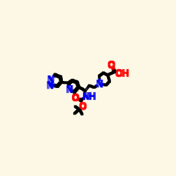 CC(C)(C)OC(=O)N[C@H](CCN1CCC(C(=O)O)CC1)c1ccc(-c2ccnnc2)nc1